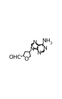 Nc1ncnc2c1ncn2C1CO[C@@H](C=O)C1